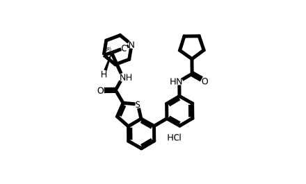 Cl.O=C(N[C@H]1CN2CCC1CC2)c1cc2cccc(-c3cccc(NC(=O)C4CCCC4)c3)c2s1